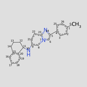 Cc1ccc(-c2cn3cc(NC4CCCc5ccccc54)ccc3n2)cc1